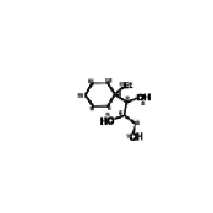 CCC1(C(O)C(O)CO)CCCCC1